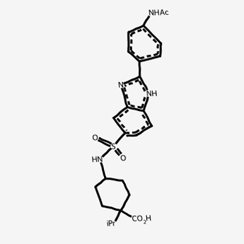 CC(=O)Nc1ccc(-c2nc3cc(S(=O)(=O)NC4CCC(C(=O)O)(C(C)C)CC4)ccc3[nH]2)cc1